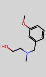 COc1cccc(CN(C)CCO)c1